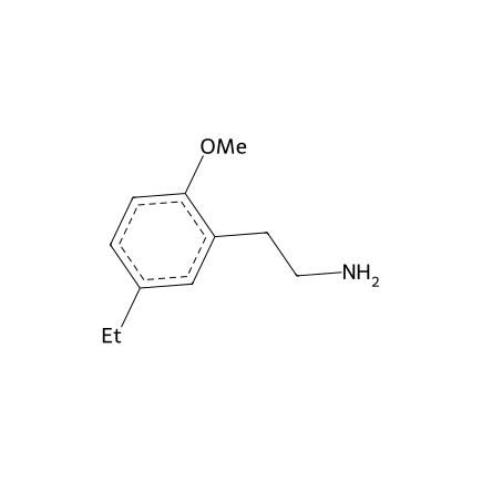 CCc1ccc(OC)c(CCN)c1